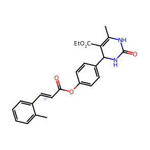 CCOC(=O)C1=C(C)NC(=O)NC1c1ccc(OC(=O)/C=C/c2ccccc2C)cc1